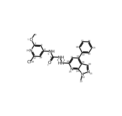 COc1cc(NC(=O)NNc2cc(-c3ccccc3)c3cnn(C)c3n2)cc(Cl)n1